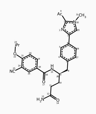 CC(=O)c1nc(-c2ccc(C[C@@H](CCC(N)=O)NC(=O)c3ccc(OC(C)C)c(C#N)c3)cc2)cn1C